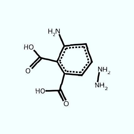 NN.Nc1cccc(C(=O)O)c1C(=O)O